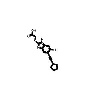 O=C(O)CSc1nc2cc(C#CC3CCCC3)c(Cl)cc2[nH]1